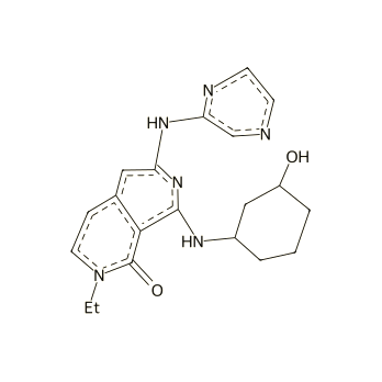 CCn1ccc2cc(Nc3cnccn3)nc(NC3CCCC(O)C3)c2c1=O